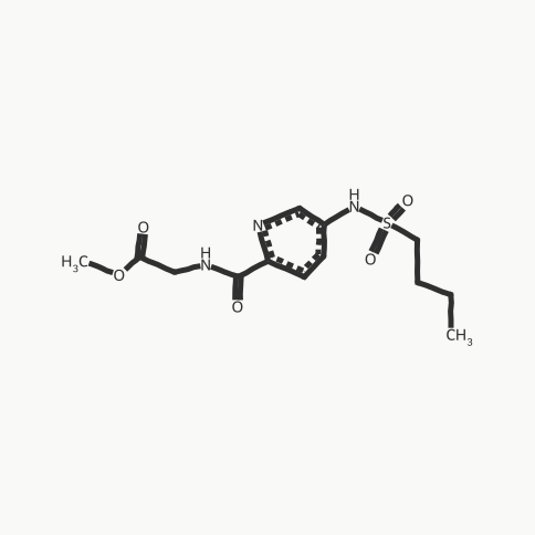 CCCCS(=O)(=O)Nc1ccc(C(=O)NCC(=O)OC)nc1